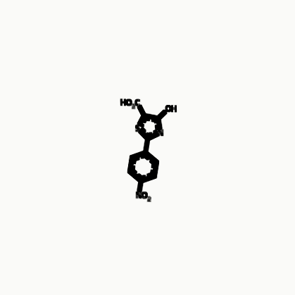 O=C(O)c1sc(-c2ccc([N+](=O)[O-])cc2)nc1O